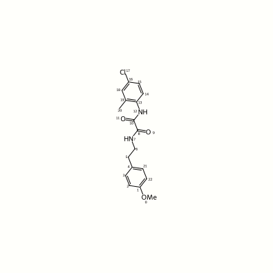 COc1ccc(CCNC(=O)C(=O)Nc2ccc(Cl)cc2C)cc1